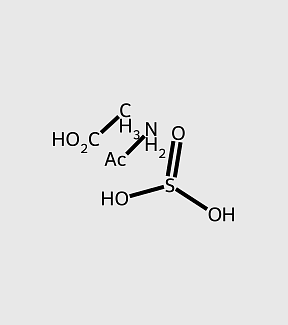 CC(=O)O.CC(N)=O.O=S(O)O